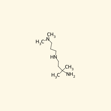 CN(C)CCCNCCC(C)(C)N